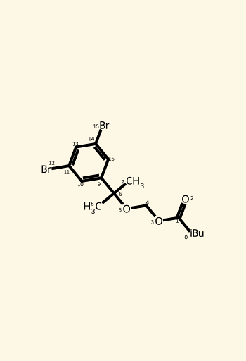 CCC(C)C(=O)OCOC(C)(C)c1cc(Br)cc(Br)c1